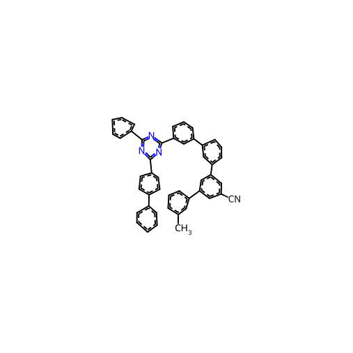 Cc1cccc(-c2cc(C#N)cc(-c3cccc(-c4cccc(-c5nc(-c6ccccc6)nc(-c6ccc(-c7ccccc7)cc6)n5)c4)c3)c2)c1